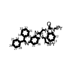 CC(C)CCn1c(Cn2c(=O)n(C(C)C)c3ccccc32)nc2cc(N=C(c3ccccc3)c3ccccc3)ccc21